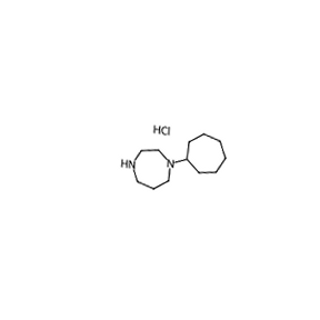 C1CCCC(N2CCCNCC2)CC1.Cl